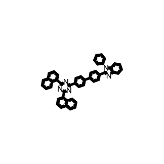 c1ccc(-n2c(-c3ccc(-c4ccc(-c5nc(-c6cccc7ccccc67)nc(-c6cccc7ccccc67)n5)cc4)cc3)nc3ccccc32)cc1